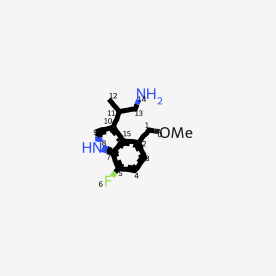 COCc1ccc(F)c2[nH]cc(C(C)CN)c12